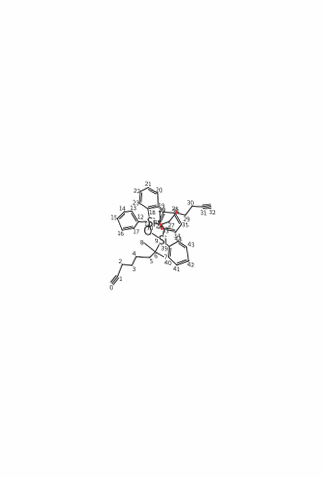 C#CCCCCC(C)(C)[Si](O[Si](c1ccccc1)(c1ccccc1)C(C)(C)CCCCC#C)(c1ccccc1)c1ccccc1